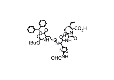 C=CC1=C(C(=O)O)N2C(=O)C(NC(=O)/C(=N\OCCC(NC(=O)OC(C)(C)C)C(=O)OC(c3ccccc3)c3ccccc3)c3csc(NC=O)n3)[C@H]2SC1